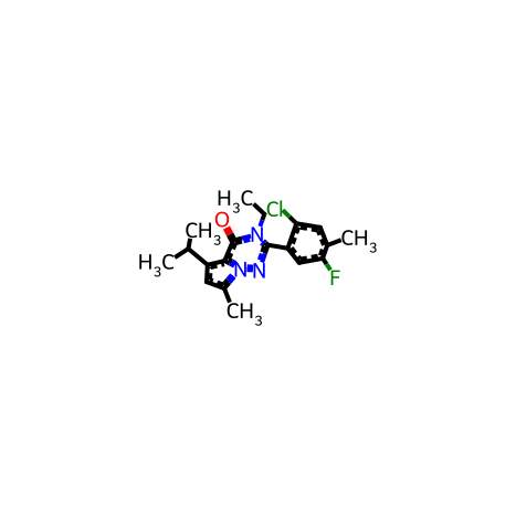 CCn1c(-c2cc(F)c(C)cc2Cl)nn2c(C)cc(C(C)C)c2c1=O